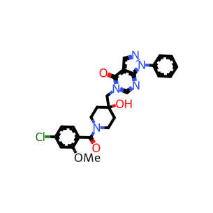 COc1cc(Cl)ccc1C(=O)N1CCC(O)(Cn2cnc3c(cnn3-c3ccccc3)c2=O)CC1